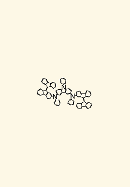 C1=CC2C(=C3c4ccccc4-c4ccccc43)c3cc(N(c4ccccc4)c4ccc5c(c4)c4cc(N(c6ccccc6)c6ccc7c(c6)C(=C6c8ccccc8-c8ccccc86)c6ccccc6-7)ccc4n5-c4ccccc4)ccc3C2C=C1